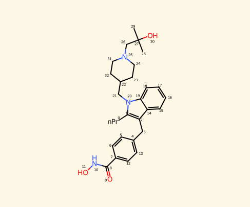 CCCc1c(Cc2ccc(C(=O)NO)cc2)c2ccccc2n1CC1CCN(CC(C)(C)O)CC1